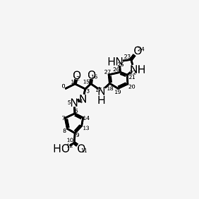 CC(=O)C(/N=N/c1ccc(C(=O)O)cc1)C(=O)Nc1ccc2[nH]c(=O)[nH]c2c1